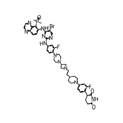 CP(C)(=O)c1c(Nc2nc(Nc3ccc(N4CCN(C5CN(CCC6CCN(c7ccc(C8CCC(=O)NC8=O)c(F)c7)CC6)C5)CC4)c(F)c3)ncc2Br)ccc2nccnc12